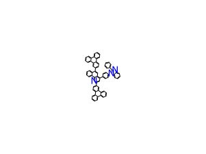 c1ccc(-c2nc3ccccc3n2-c2ccc(-c3cc(-c4ccc5c6ccccc6c6ccccc6c5c4)nc4c3cc(-c3ccc5c6ccccc6c6ccccc6c5c3)c3ccccc34)cc2)cc1